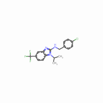 CC(C)n1c(NCc2ccc(Cl)cc2)nc2cc(C(F)(F)F)ccc21